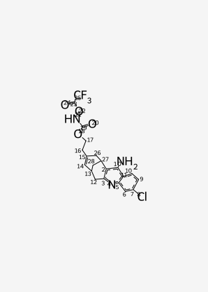 Nc1c2c(nc3cc(Cl)ccc13)CC1C=C(CCOC(=O)NOC(=O)C(F)(F)F)CC2C1